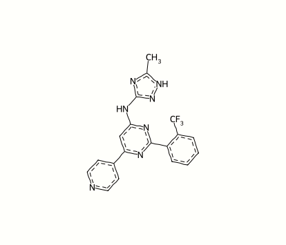 Cc1nc(Nc2cc(-c3ccncc3)nc(-c3ccccc3C(F)(F)F)n2)n[nH]1